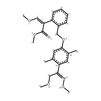 CO/C=C(\C(=O)OC)c1ccccc1COc1cc(C)c(/C(COC)=N/OC)cc1C